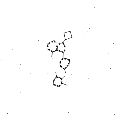 Nc1nccn2c(C3CCC3)nc(-c3ccc(Oc4c(F)cccc4F)cc3)c12